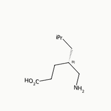 CC(C)C[C@H](CN)CCC(=O)O